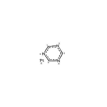 [Pt].c1ncncn1